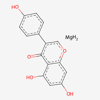 O=c1c(-c2ccc(O)cc2)coc2cc(O)cc(O)c12.[MgH2]